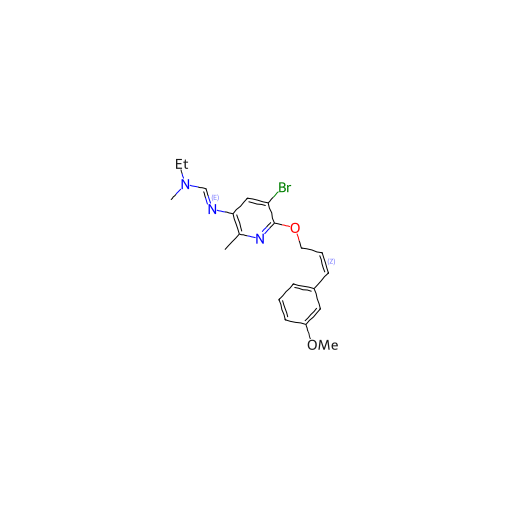 CCN(C)/C=N/c1cc(Br)c(OC/C=C\c2cccc(OC)c2)nc1C